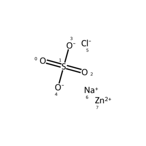 O=S(=O)([O-])[O-].[Cl-].[Na+].[Zn+2]